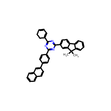 CC1(C)c2ccccc2-c2ccc(-c3nc(C4=CC=CCC4)nc(-c4ccc(-c5ccc6ccccc6c5)cc4)n3)cc21